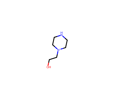 OCC[N+]1CCNCC1